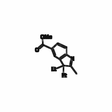 CCC1(CC)C(C)=Nc2ccc(C(=O)OC)cc21